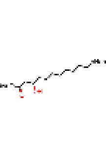 CCCCCCCCCCCCCCCCC[C@@H](O)CC(=O)OC